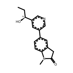 CC[C@H](O)c1cncc(-c2ccc3c(c2)CC(=O)N3C)c1